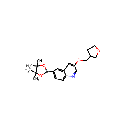 CC1(C)OB(c2ccc3ncc(OCC4CCOC4)cc3c2)OC1(C)C